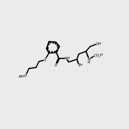 COCCCOc1ccccc1C(=O)NCC(CC(CO)NC(=O)O)C(C)C